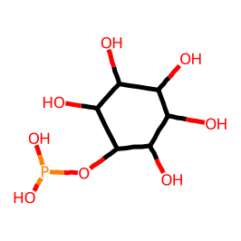 OC1C(O)C(O)C(OP(O)O)C(O)C1O